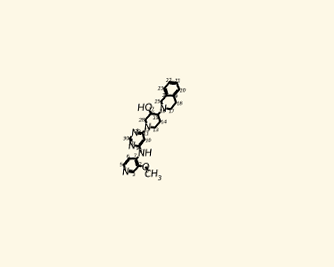 COc1cnccc1Nc1cc(N2CCC(N3CCc4ccccc4C3)C(O)C2)ncn1